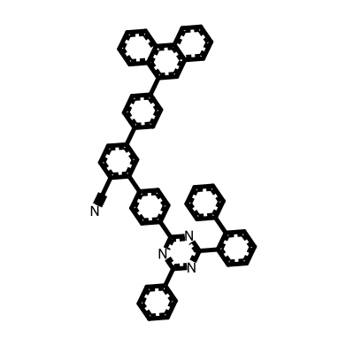 N#Cc1ccc(-c2ccc(-c3cc4ccccc4c4ccccc34)cc2)cc1-c1ccc(-c2nc(-c3ccccc3)nc(-c3ccccc3-c3ccccc3)n2)cc1